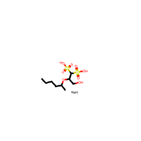 CCCCC(C)OC(CO)C(S(=O)(=O)O)S(=O)(=O)O.[NaH]